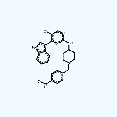 ClNc1ccc(CN2CCC(Nc3ncc(Cl)c(-c4c[nH]c5ccccc45)n3)CC2)cc1